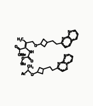 CC(=O)C(C)OC1CC(CCc2ccc3cccnc3n2)C1.COC(=O)C(NC(=O)OC(C)(C)C)=C(C)COC1CC(CCc2ccc3cccnc3n2)C1